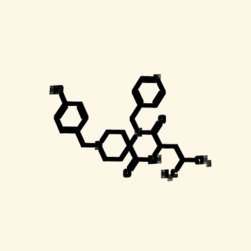 CC(C)CC1NC(=O)C2(CCN(Cc3ccc(O)cc3)CC2)N(Cc2ccncc2)C1=O